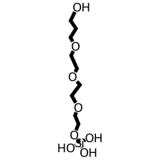 OCCCOCCOCCOCCO[Si](O)(O)O